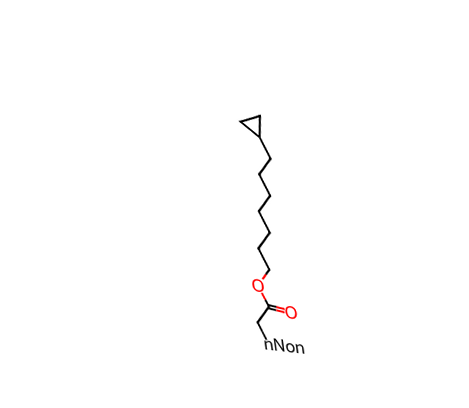 CCCCCCCCCCC(=O)OCCCCCCCC1CC1